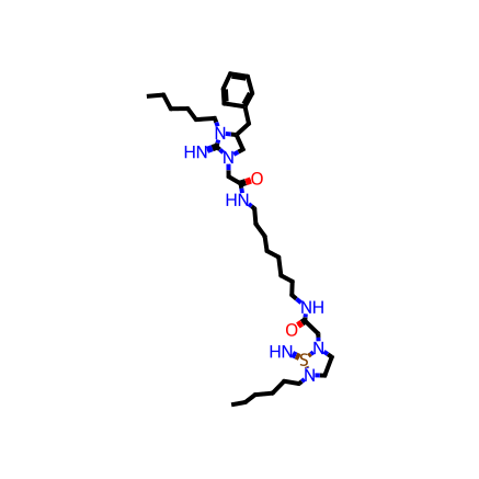 CCCCCCN1C(=N)N(CC(=O)NCCCCCCCCNC(=O)CN2CCN(CCCCCC)S2=N)CC1Cc1ccccc1